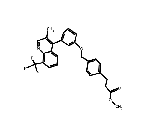 COC(=O)CCc1ccc(COc2cccc(-c3c(C)cnc4c(C(F)(F)F)cccc34)c2)cc1